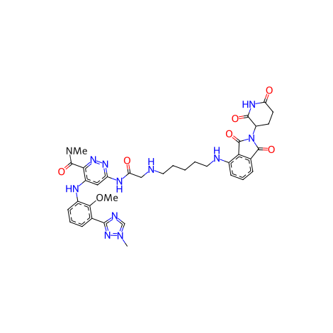 CNC(=O)c1nnc(NC(=O)CNCCCCCNc2cccc3c2C(=O)N(C2CCC(=O)NC2=O)C3=O)cc1Nc1cccc(-c2ncn(C)n2)c1OC